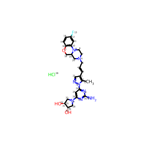 Cc1c(C=CCN2CCN3c4cc(F)ccc4OCC3C2)cnn1-c1cc(N2C[C@H](O)[C@@H](O)C2)nc(N)n1.Cl